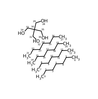 CCCCCCC.CCCCCCC.CCCCCCC.CCCCCCC.OCC(CO)(CO)CO